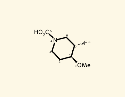 CO[C@H]1CCN(C(=O)O)C[C@@H]1F